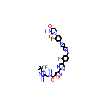 CC(C)(c1n[nH]c(CNC(=O)c2cc(-c3ncc(-c4ccc(CN5CC6(C5)CN(c5ccc(N7CCC(=O)NC7=O)c(F)c5)C6)cc4F)cn3)no2)n1)C(F)(F)F